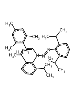 C/C(=C\N(/N=N/c1c(C(C)C)cccc1C(C)C)c1c(C(C)C)cccc1C(C)C)c1c(C)cc(C)cc1C